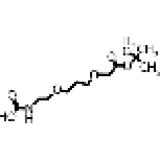 CC(C)(C)OC(=O)COCCCOCCNC(=O)O